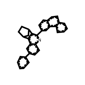 c1ccc(-c2ccc3nc(-c4ccc5ccc6ccccc6c5c4)c4c(c3c2)C2CCC4C2)cc1